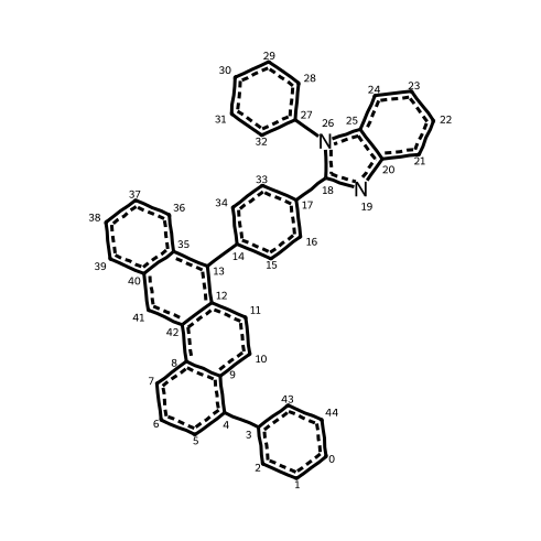 c1ccc(-c2cccc3c2ccc2c(-c4ccc(-c5nc6ccccc6n5-c5ccccc5)cc4)c4ccccc4cc23)cc1